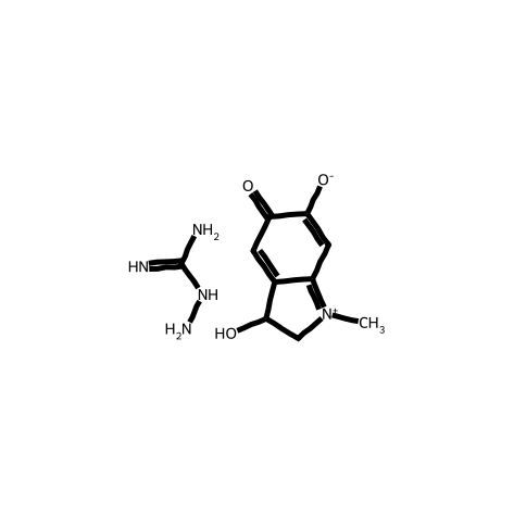 C[N+]1=C2C=C([O-])C(=O)C=C2C(O)C1.N=C(N)NN